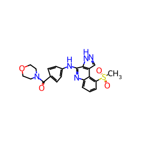 CS(=O)(=O)c1cccc2nc(Nc3ccc(C(=O)N4CCOCC4)cc3)c3[nH]ncc3c12